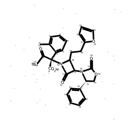 [CH2]c1ccccc1[C@@](C(=O)O)(C(=O)C(C)(C)C)N1C(=O)C(N2C(=O)OC[C@@H]2c2ccccc2)C1CCc1ccco1